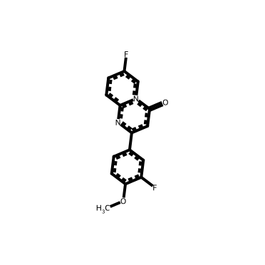 COc1ccc(-c2cc(=O)n3cc(F)ccc3n2)cc1F